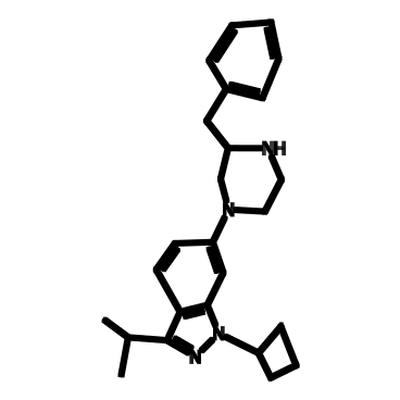 CC(C)c1nn(C2CCC2)c2cc(N3CCNC(Cc4ccccc4)C3)ccc12